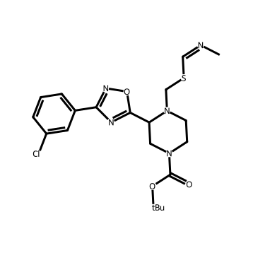 C/N=C\SCN1CCN(C(=O)OC(C)(C)C)CC1c1nc(-c2cccc(Cl)c2)no1